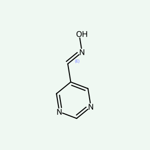 O/N=C/c1cncnc1